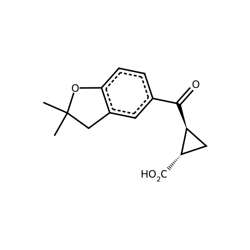 CC1(C)Cc2cc(C(=O)[C@H]3C[C@@H]3C(=O)O)ccc2O1